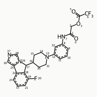 O=C(COC(=O)C(F)(F)F)Nc1cccc(N2CCC(C3c4c(F)cccc4-c4cncn43)CC2)c1